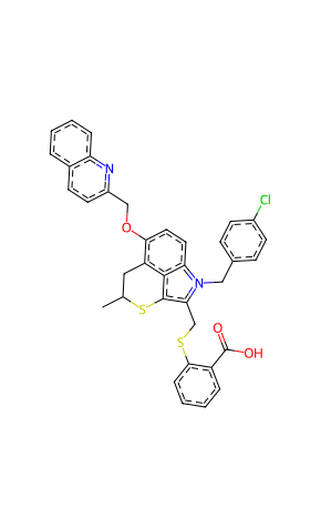 CC1Cc2c(OCc3ccc4ccccc4n3)ccc3c2c(c(CSc2ccccc2C(=O)O)n3Cc2ccc(Cl)cc2)S1